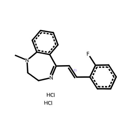 CN1CCN=C(/C=C/c2ccccc2F)c2ccccc21.Cl.Cl